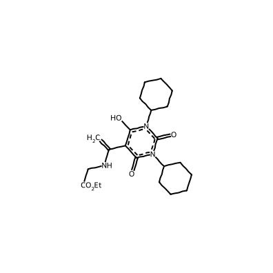 C=C(NCC(=O)OCC)c1c(O)n(C2CCCCC2)c(=O)n(C2CCCCC2)c1=O